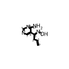 C=CCC(=NO)c1cncnc1N